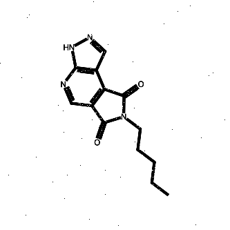 CCCCCN1C(=O)c2cnc3[nH]ncc3c2C1=O